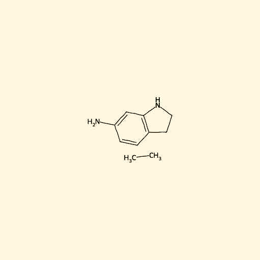 CC.Nc1ccc2c(c1)NCC2